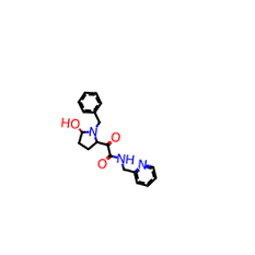 O=C(NCc1ccccn1)C(=O)C1CCC(O)N1Cc1ccccc1